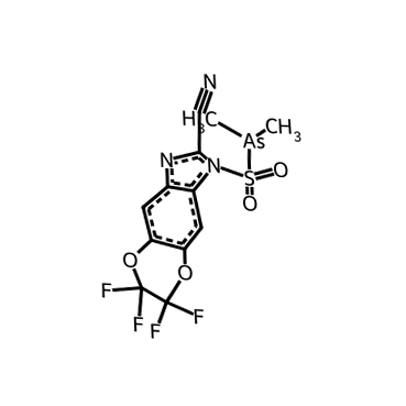 C[As](C)S(=O)(=O)n1c(C#N)nc2cc3c(cc21)OC(F)(F)C(F)(F)O3